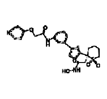 O=C(C[C@]1(c2ccc(-c3cccc(NC(=O)COc4ccncc4)c3)s2)CCCCS1(=O)=O)NO